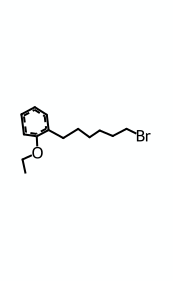 CCOc1ccccc1CCCCCCBr